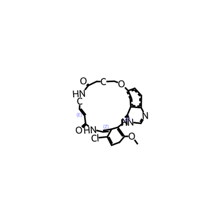 COC1=C2/N=C3\NC=Nc4ccc(cc43)OCCCC(=O)NC/C=C/C(=O)N/C=C/2C(Cl)=CC1